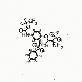 CC(C)(OC(=O)Nc1ccc2c(c1)N(S(=O)(=O)c1ccc(F)cc1)CC(C(N)S(C)(=O)=O)O2)C(F)(F)F